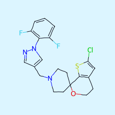 Fc1cccc(F)c1-n1cc(CN2CCC3(CC2)OCCc2cc(Cl)sc23)cn1